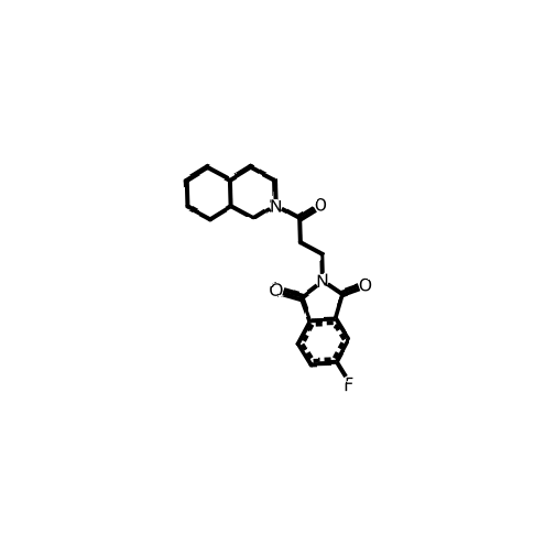 O=C(CCN1C(=O)c2ccc(F)cc2C1=O)N1CCC2CCCCC2C1